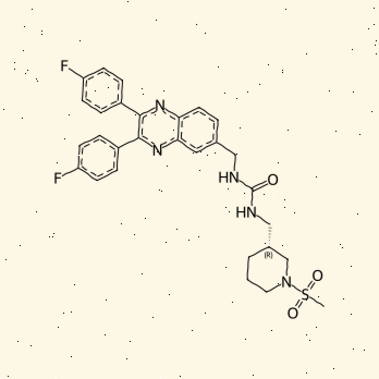 CS(=O)(=O)N1CCC[C@H](CNC(=O)NCc2ccc3nc(-c4ccc(F)cc4)c(-c4ccc(F)cc4)nc3c2)C1